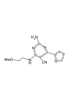 COCCNc1nc(N)nc(-c2ccco2)c1C#N